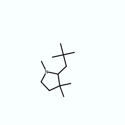 CN1CCC(C)(C)C1CC(C)(C)C